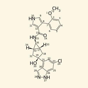 COc1ccccc1-c1c[nH]cc1C(=O)N[C@H]1[C@@H]2C[C@](O)(c3cc(Cl)cc4[nH]ncc34)C[C@@H]21